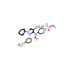 CS(=O)(=O)N1CCC(N(c2nn(-c3ccccc3)cc2C(=O)O)C(=O)[C@H]2CC[C@H](C)CC2)CC1